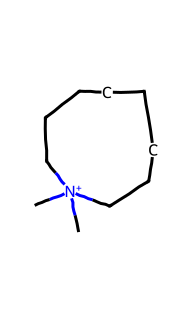 C[N+]1(C)CCCCCCCC1